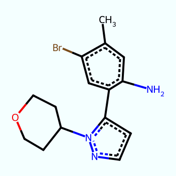 Cc1cc(N)c(-c2ccnn2C2CCOCC2)cc1Br